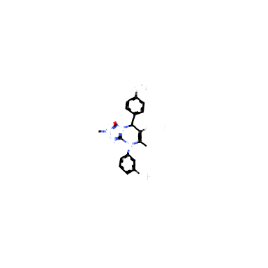 CC1=C(C(=O)O)C(c2ccc(C#N)cc2)n2c(nn(C)c2=O)N1c1cccc(C(F)(F)F)c1